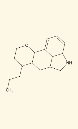 CCCN1CCOC2C3=CC=CC4NCC(CC21)C34